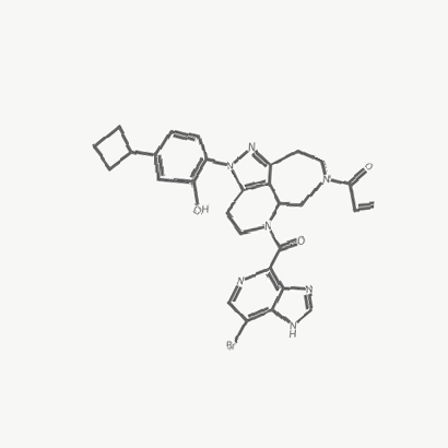 C=CC(=O)N1CCc2nn(-c3ccc(C4CCC4)cc3O)c3c2C(C1)N(C(=O)c1ncc(Br)c2[nH]cnc12)CC3